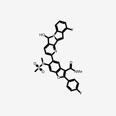 CNC(=O)c1c(-c2ccc(F)cc2)oc2cc(N(C)S(C)(=O)=O)c(-c3ccc4c(n3)-c3cc5c(F)cccc5n3C4O)cc12